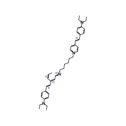 C\C=C/C(/C=C/c1ccc(N(CC)CC)cc1)=C\C=N\CCCCCC[n+]1ccc(/C=C/c2ccc(N(CC)CC)cc2)cc1